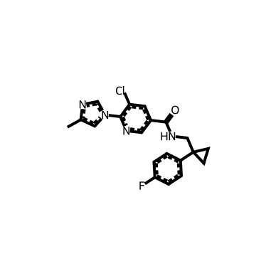 Cc1cn(-c2ncc(C(=O)NCC3(c4ccc(F)cc4)CC3)cc2Cl)cn1